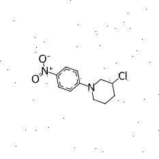 O=[N+]([O-])c1ccc(N2CCCC(Cl)C2)cc1